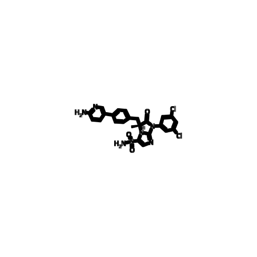 C[C@@]1(Cc2ccc(-c3ccc(N)nc3)cc2)C(=O)N(c2cc(Cl)cc(Cl)c2)c2ncc(S(N)(=O)=O)n21